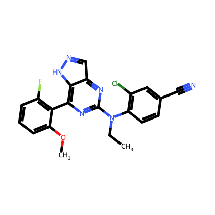 CCN(c1nc(-c2c(F)cccc2OC)c2[nH]ncc2n1)c1ccc(C#N)cc1Cl